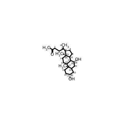 CC(=O)CC[C@@H](C)[C@H]1CCC2C3C(CC[C@@]21C)[C@@]1(C)CC[C@@H](O)CC1C[C@H]3O